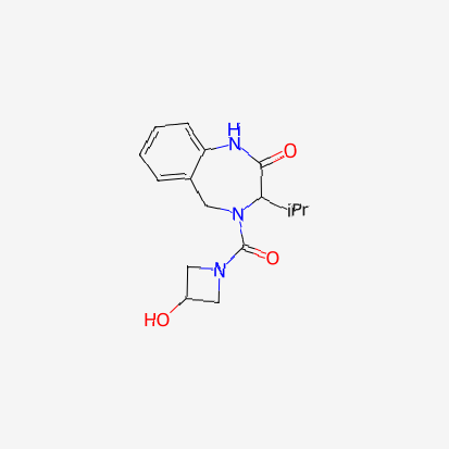 CC(C)C1C(=O)Nc2ccccc2CN1C(=O)N1CC(O)C1